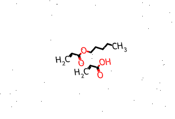 C=CC(=O)O.C=CC(=O)OCCCCC